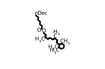 CCCCCCCCCCCCCCCCC(=O)OCC=C(C)C=CC=C(C)C=CC1=C(C)CCCC1(C)C